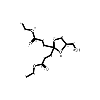 CCOC(=O)CCC1(CCC(=O)OCC)OC(CS)CS1